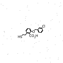 O=C(O)c1c(CCS)cccc1OCc1cccc(Cl)c1